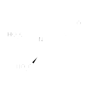 O=C1CC[C@@H](C(=O)O)N(C(=O)O)C1